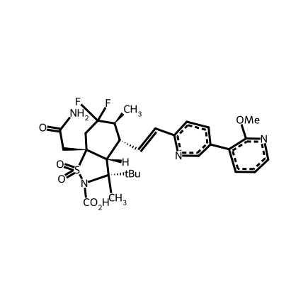 COc1ncccc1-c1ccc(C=C[C@H]2[C@H](C)C(F)(F)C[C@]3(CC(N)=O)[C@H]2[C@](C)(C(C)(C)C)N(C(=O)O)S3(=O)=O)nc1